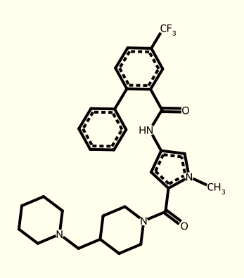 Cn1cc(NC(=O)c2cc(C(F)(F)F)ccc2-c2ccccc2)cc1C(=O)N1CCC(CN2CCCCC2)CC1